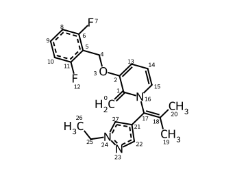 C=C1C(OCc2c(F)cccc2F)=CC=CN1C(=C(C)C)c1cnn(CC)c1